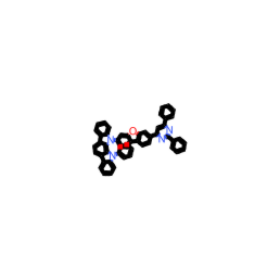 c1ccc(-c2cc(-c3ccc4c(c3)oc3cc(-n5c6ccccc6c6ccc7c8ccccc8n(-c8ccccc8)c7c65)ccc34)nc(-c3ccccc3)n2)cc1